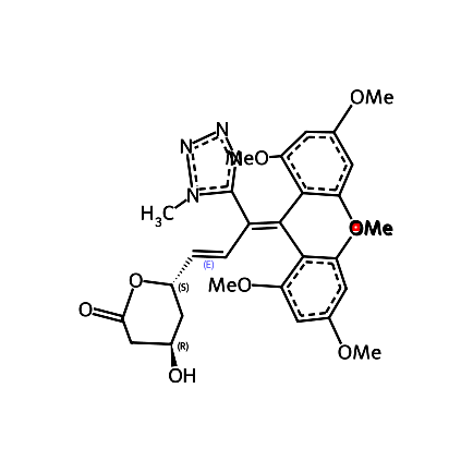 COc1cc(OC)c(C(=C(/C=C/[C@@H]2C[C@@H](O)CC(=O)O2)c2nnnn2C)c2c(OC)cc(OC)cc2OC)c(OC)c1